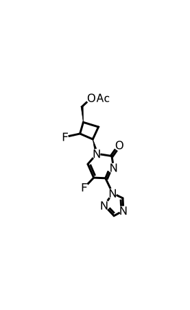 CC(=O)OC[C@H]1C[C@@H](n2cc(F)c(-n3cncn3)nc2=O)C1F